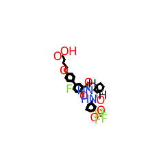 COc1cc(F)c(-c2ccc(OCCCC(=O)O)cc2)cc1C(=O)N[C@@H]1[C@H]2CC[C@H](C2)[C@@H]1C(=O)Nc1cccc(S(=O)(=O)C(F)(F)F)c1